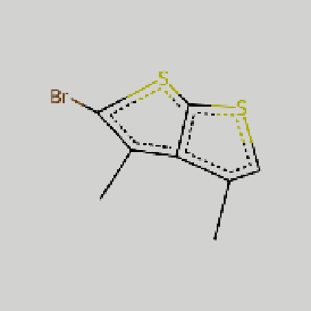 Cc1csc2sc(Br)c(C)c12